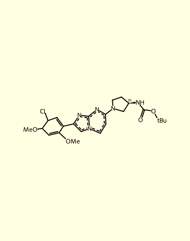 COC1=CC(OC)C(Cl)C=C1c1cn2ccc(N3CC[C@@H](NC(=O)OC(C)(C)C)C3)nc2n1